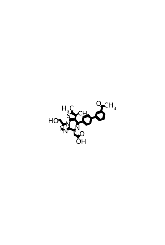 CC(=O)c1cccc(-c2ccc(C3=N[C@@H](CC(=O)O)c4nnc(CO)n4-c4sc(C)c(C)c43)cc2)c1